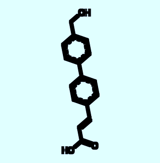 O=C(O)/C=C/c1ccc(-c2ccc(CO)cc2)cc1